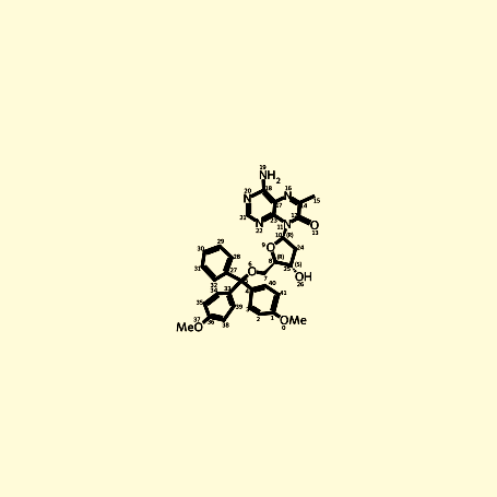 COc1ccc(C(OC[C@H]2O[C@@H](n3c(=O)c(C)nc4c(N)ncnc43)C[C@@H]2O)(c2ccccc2)c2ccc(OC)cc2)cc1